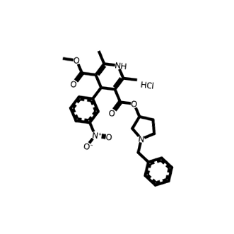 COC(=O)C1=C(C)NC(C)=C(C(=O)OC2CCN(Cc3ccccc3)C2)C1c1cccc([N+](=O)[O-])c1.Cl